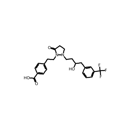 O=C(O)c1ccc(CCN2C(=O)CCN2CCC(O)Cc2cccc(C(F)(F)F)c2)cc1